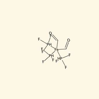 O=[CH][Fe]([CH]=O)([PH](F)(F)F)([PH](F)(F)F)[PH](F)(F)F